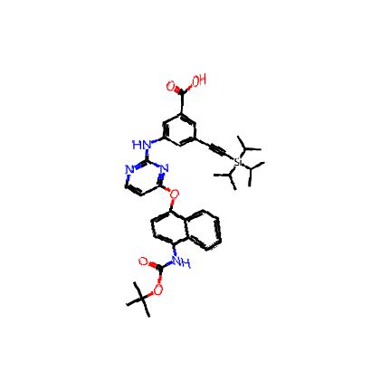 CC(C)[Si](C#Cc1cc(Nc2nccc(Oc3ccc(NC(=O)OC(C)(C)C)c4ccccc34)n2)cc(C(=O)O)c1)(C(C)C)C(C)C